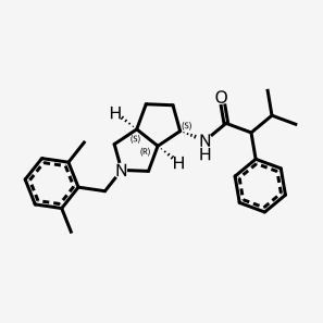 Cc1cccc(C)c1CN1C[C@H]2CC[C@H](NC(=O)C(c3ccccc3)C(C)C)[C@H]2C1